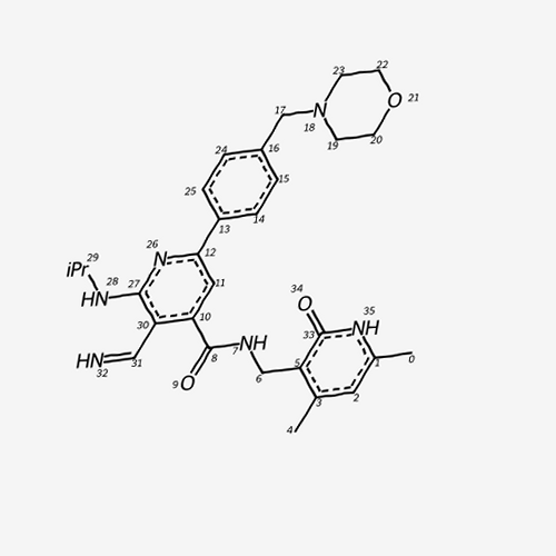 Cc1cc(C)c(CNC(=O)c2cc(-c3ccc(CN4CCOCC4)cc3)nc(NC(C)C)c2C=N)c(=O)[nH]1